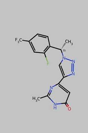 Cc1nc(-c2cn([C@@H](C)c3ccc(C(F)(F)F)cc3F)nn2)cc(=O)[nH]1